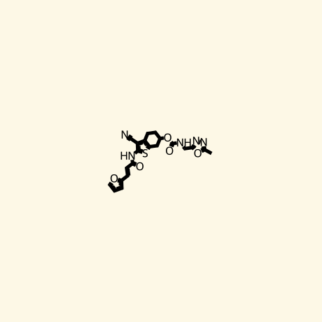 Cc1nnc(CNC(=O)OC2CCc3c(sc(NC(=O)C=Cc4ccco4)c3C#N)C2)o1